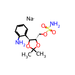 CC1(C)O[C@@H](COS(N)(=O)=O)[C@H](c2ccccc2N)O1.[Na]